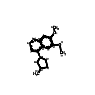 COc1cc2nncc(N3CCC(C)C3)c2cc1OC